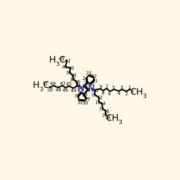 CCCCCCCCCCC(CCCCCCCC)n1c2ccccc2c2c1c1ccccc1n2C(CCCCCCCC)CCCCCCCC